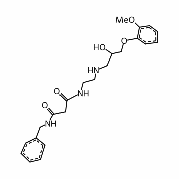 COc1ccccc1OCC(O)CNCCNC(=O)CC(=O)NCc1ccccc1